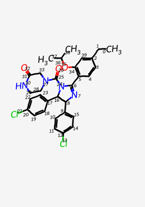 CCc1ccc(C2=NC(c3ccc(Cl)cc3)C(c3ccc(Cl)cc3)N2C(=O)N2CCNC(=O)C2)c(OC(C)C)c1